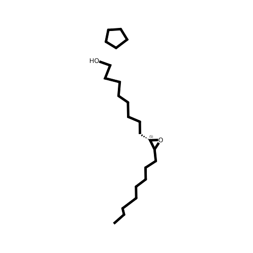 C1CCCC1.CCCCCCCCC1O[C@H]1CCCCCCCCO